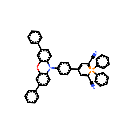 N#CC1=CC(c2ccc(N3c4ccc(-c5ccccc5)cc4Oc4cc(-c5ccccc5)ccc43)cc2)=CC(C#N)=P1(c1ccccc1)c1ccccc1